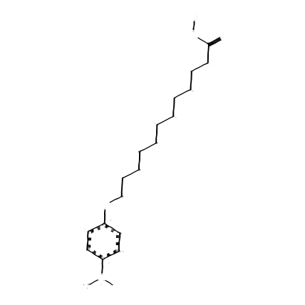 CC(C)(C)OC(=O)CCCCCCCCCCCOc1ccc([S+](N)[O-])cc1